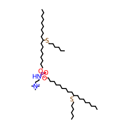 CCCCCCCCCC(CCCCCCCCOP(=O)(NCC[N+](C)(C)C)OCCCCCCCCCC(CCCCCCCC)SCCCCCC)SCCCCCC